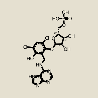 O=P(O)(O)OC[C@H]1OC(Oc2c(Cl)cc(Cl)c(O)c2CNc2ncnc3nc[nH]c23)[C@H](O)[C@@H]1O